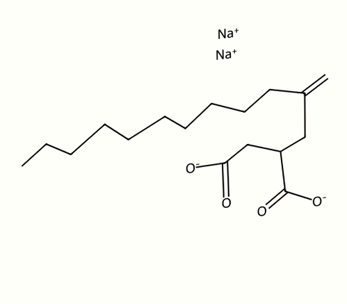 C=C(CCCCCCCCCC)CC(CC(=O)[O-])C(=O)[O-].[Na+].[Na+]